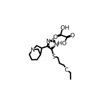 CCCCCCSc1nsnc1C1CN2CCCC1C2.O=C(O)C(=O)O